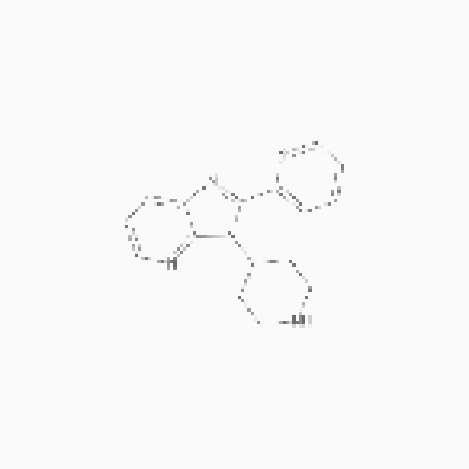 c1ccc(-c2nc3cccnc3n2C2CCNCC2)nc1